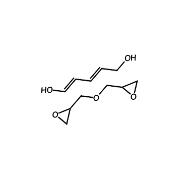 C(OCC1CO1)C1CO1.OC=CC=CCO